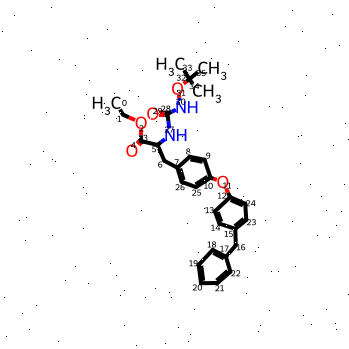 CCOC(=O)C(Cc1ccc(Oc2ccc(Cc3ccccc3)cc2)cc1)NC(=O)NOC(C)(C)C